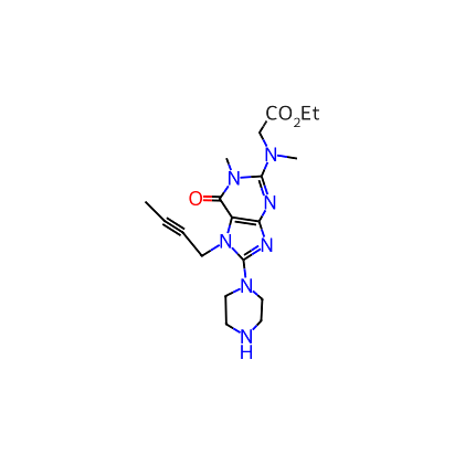 CC#CCn1c(N2CCNCC2)nc2nc(N(C)CC(=O)OCC)n(C)c(=O)c21